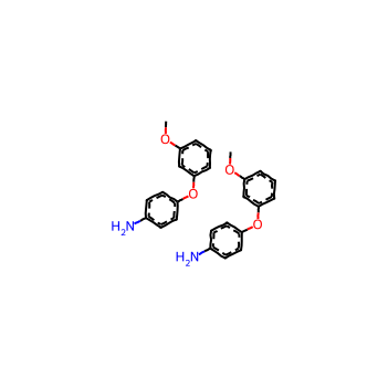 COc1cccc(Oc2ccc(N)cc2)c1.COc1cccc(Oc2ccc(N)cc2)c1